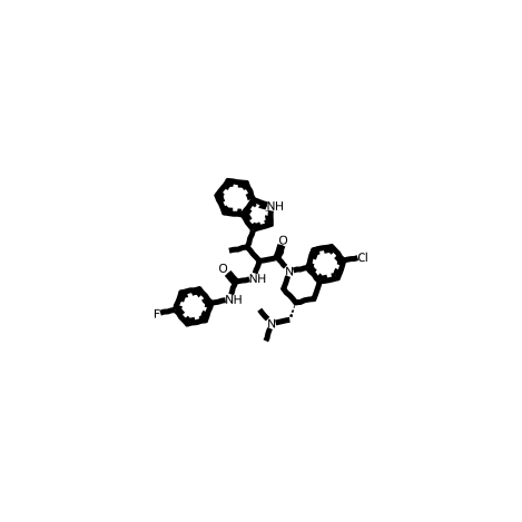 CC(c1c[nH]c2ccccc12)C(NC(=O)Nc1ccc(F)cc1)C(=O)N1C[C@@H](CN(C)C)Cc2cc(Cl)ccc21